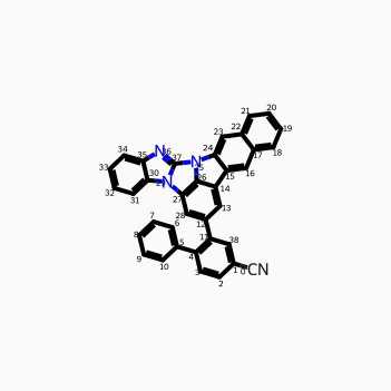 N#Cc1ccc(-c2ccccc2)c(-c2cc3c4cc5ccccc5cc4n4c3c(c2)n2c3ccccc3nc24)c1